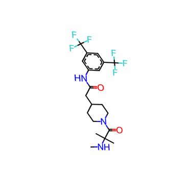 CNC(C)(C)C(=O)N1CCC(CC(=O)Nc2cc(C(F)(F)F)cc(C(F)(F)F)c2)CC1